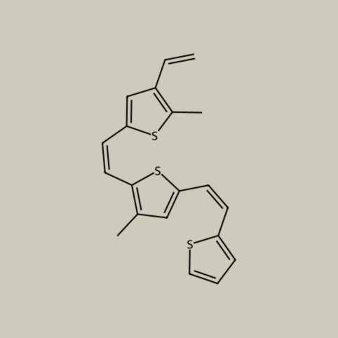 C=Cc1cc(/C=C\c2sc(/C=C\c3cccs3)cc2C)sc1C